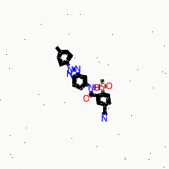 Cc1ccc(-n2nc3ccc(NC(=O)c4cc(C#N)ccc4S(C)(=O)=O)cc3n2)cc1